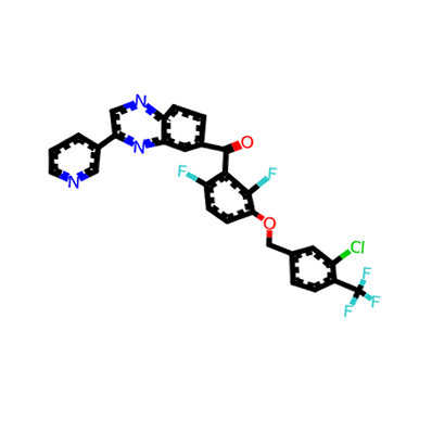 O=C(c1ccc2ncc(-c3cccnc3)nc2c1)c1c(F)ccc(OCc2ccc(C(F)(F)F)c(Cl)c2)c1F